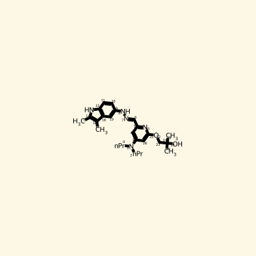 CCCN(CCC)c1cc(/C=N/Nc2ccc3[nH]c(C)c(C)c3c2)nc(OCC(C)(C)O)c1